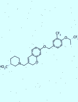 C[C@H](Oc1ccc(COc2ccc3c(c2)OCC(CN2CCC[C@@H](C(=O)O)C2)=C3)cc1C(F)(F)F)C(F)(F)F